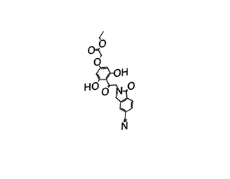 CCOC(=O)COc1cc(O)c(C(=O)CN2Cc3cc(C#N)ccc3C2=O)c(O)c1